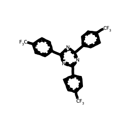 FC(F)(F)c1ccc(-c2nc(-c3ccc(C(F)(F)F)cc3)nc(-c3ccc(C(F)(F)F)cc3)n2)cc1